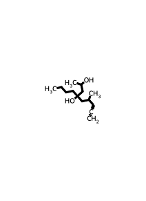 C=C=CC(C)CC(O)(CCCC)CC(C)O